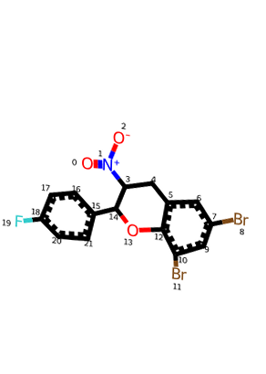 O=[N+]([O-])C1Cc2cc(Br)cc(Br)c2OC1c1ccc(F)cc1